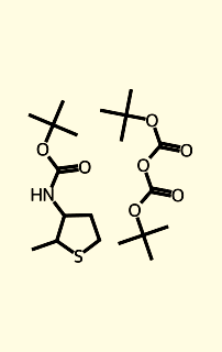 CC(C)(C)OC(=O)OC(=O)OC(C)(C)C.CC1SCCC1NC(=O)OC(C)(C)C